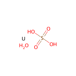 O.O=S(=O)(O)O.[U]